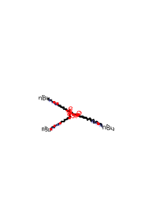 CCCC/C=C/C=C/C=C/CCCCCCCC(=O)OCC(COC(=O)CCCCCCC/C=C/C=C/C=C/CCCC)OC(=O)CCCCCCC/C=C/C=C/C=C/CCCC